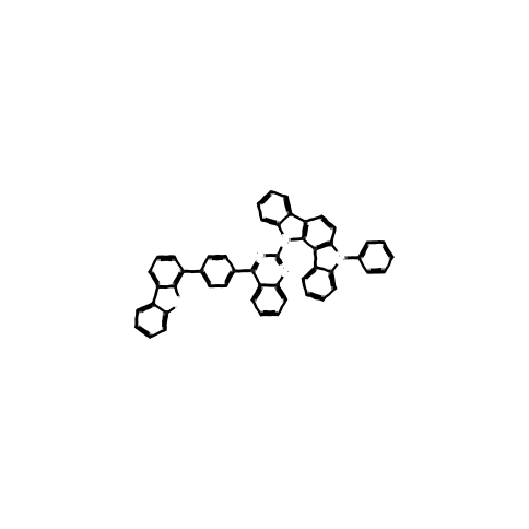 c1ccc(-n2c3ccccc3c3c2ccc2c4ccccc4n(-c4nc(-c5ccc(-c6cccc7c6oc6ccccc67)cc5)c5ccccc5n4)c23)cc1